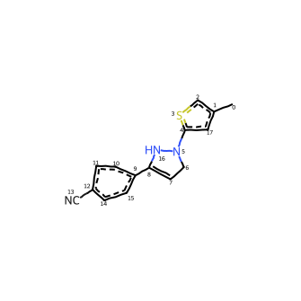 Cc1csc(N2CC=C(c3ccc(C#N)cc3)N2)c1